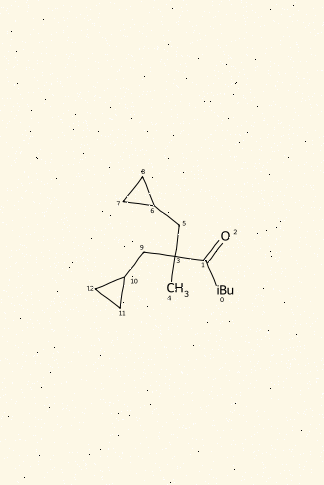 CCC(C)C(=O)C(C)(CC1CC1)CC1CC1